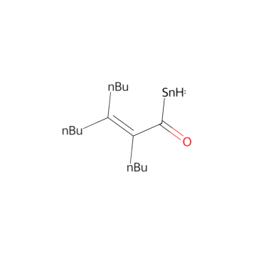 CCCCC(CCCC)=C(CCCC)[C](=O)[SnH]